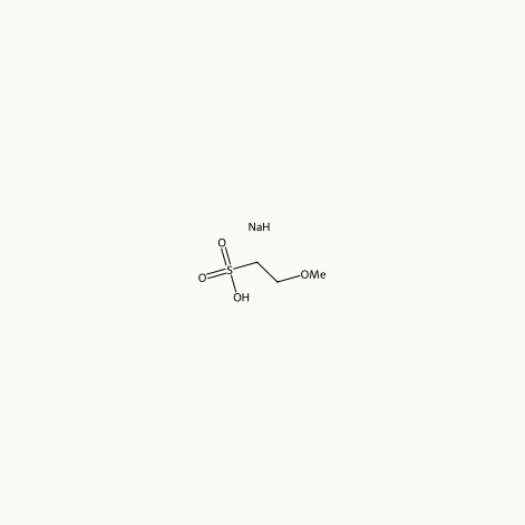 COCCS(=O)(=O)O.[NaH]